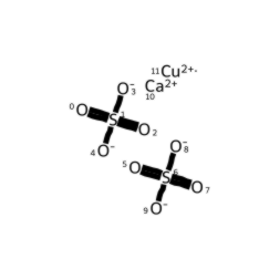 O=S(=O)([O-])[O-].O=S(=O)([O-])[O-].[Ca+2].[Cu+2]